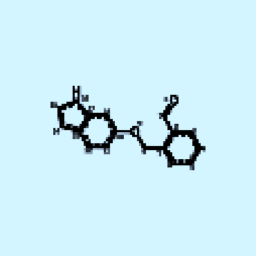 O=Cc1ccccc1COc1ccc2cc[nH]c2c1